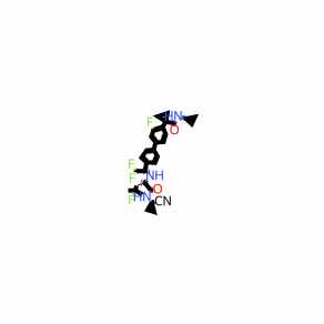 CC(C)(F)C[C@H](N[C@@H](c1ccc(-c2ccc(C3(C(=O)NC4CC4)CC3)c(F)c2)cc1)C(F)F)C(=O)NC1(C#N)CC1